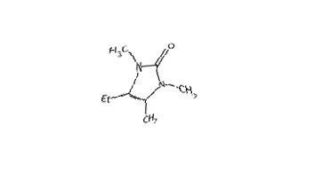 CCC1C(C)N(C)C(=O)N1C